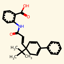 CC(C)(C)C1(/C=C/C(=O)Nc2ccccc2C(=O)O)C=CC(c2ccccc2)=CC1